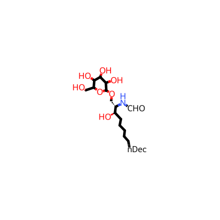 CCCCCCCCCCCCCCC[C@@H](O)[C@H](COC1OC(CO)C(O)C(O)C1O)NC=O